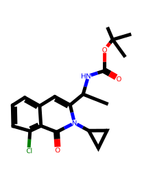 CC(NC(=O)OC(C)(C)C)c1cc2cccc(Cl)c2c(=O)n1C1CC1